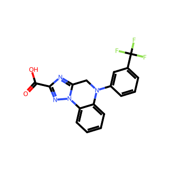 O=C(O)c1nc2n(n1)-c1ccccc1N(c1cccc(C(F)(F)F)c1)C2